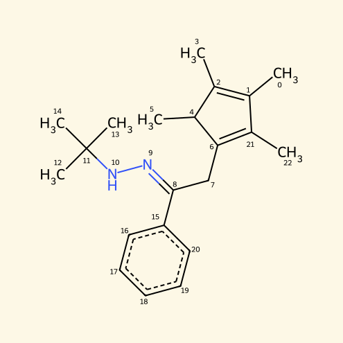 CC1=C(C)C(C)C(CC(=NNC(C)(C)C)c2ccccc2)=C1C